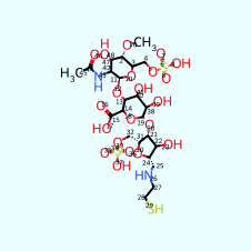 CO[C@@H]1C(COS(=O)(=O)O)O[C@@H](O[C@@H]2C(C(=O)O)O[C@@H](O[C@@H]3C(O)[C@H](CNCCS)O[C@@H]3COS(=O)(=O)O)C(O)[C@H]2O)C(NC(C)=O)[C@H]1O